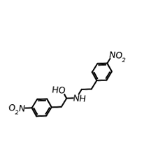 O=[N+]([O-])c1ccc(CCNC(O)Cc2ccc([N+](=O)[O-])cc2)cc1